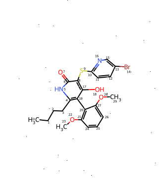 CCCCc1[nH]c(=O)c(Sc2ccc(Br)cn2)c(O)c1-c1c(OC)cccc1OC